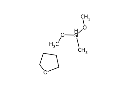 C1CCOC1.CO[SiH](C)OC